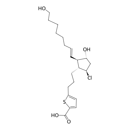 O=C(O)c1ccc(CCC[C@@H]2[C@@H](C=CCCCCCCO)[C@H](O)C[C@H]2Cl)s1